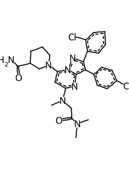 CN(C)C(=O)CN(C)c1cc(N2CCCC(C(N)=O)C2)n2nc(-c3ccccc3Cl)c(-c3ccc(Cl)cc3)c2n1